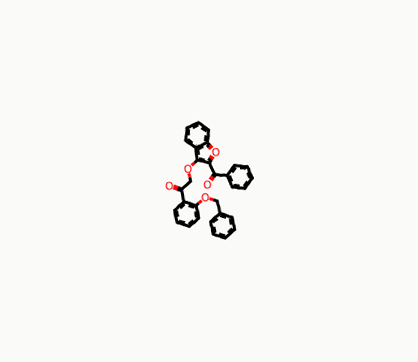 O=C(COc1c(C(=O)c2ccccc2)oc2ccccc12)c1ccccc1OCc1ccccc1